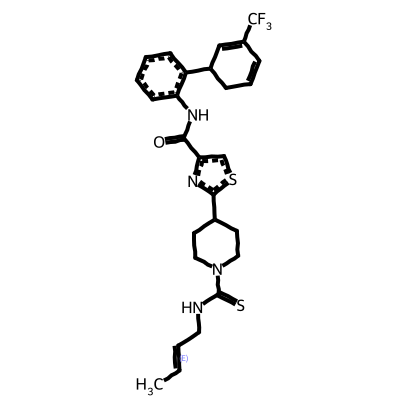 C/C=C/CNC(=S)N1CCC(c2nc(C(=O)Nc3ccccc3C3C=C(C(F)(F)F)C=CC3)cs2)CC1